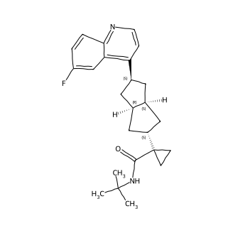 CC(C)(C)NC(=O)C1([C@@H]2C[C@H]3C[C@@H](c4ccnc5ccc(F)cc45)C[C@H]3C2)CC1